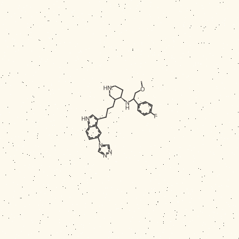 COCC(N[C@@H]1CCNCC1CCCc1c[nH]c2ccc(-n3cnnc3)cc12)c1ccc(F)cc1